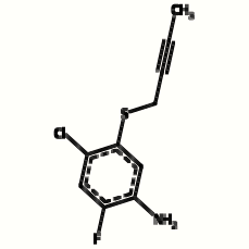 CC#CCSc1cc(N)c(F)cc1Cl